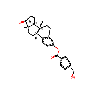 C[C@]12CC[C@@H]3c4ccc(OC(=O)c5ccc(CO)cc5)cc4CC[C@H]3[C@@H]1CCC2=O